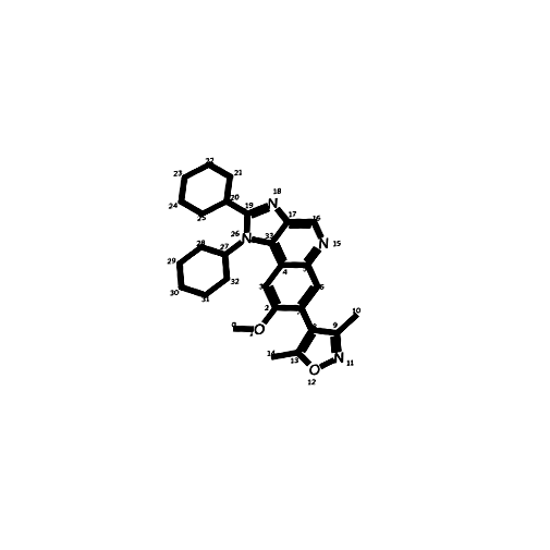 COc1cc2c(cc1-c1c(C)noc1C)ncc1nc(C3CCCCC3)n(C3CCCCC3)c12